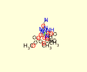 COc1ccc(C(OC[C@H]2O[C@@H](n3cnc4c(OCCC#N)nc(NC(=O)COc5ccccc5)nc43)C(F)[C@H]2O[P@]2O[C@H](C[Si](C)(c3ccccc3)c3ccccc3)[C@@H]3CCCN32)(c2ccccc2)c2ccc(OC)cc2)cc1